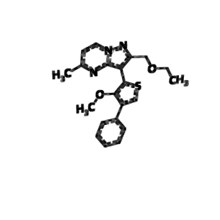 CCOCc1nn2ccc(C)nc2c1-c1scc(-c2ccccc2)c1OC